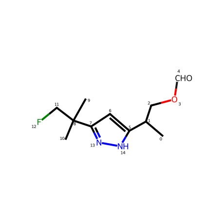 CC(COC=O)c1cc(C(C)(C)CF)n[nH]1